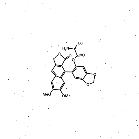 CC[C@H](C)[C@H](N)C(=O)Oc1cc2c(cc1-c1c3c(cc4cc(OC)c(OC)cc14)COC3=O)OCO2